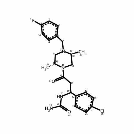 C[C@@H]1CN(Cc2ccc(F)cc2)[C@@H](C)CN1C(=O)CC(NC(N)=O)c1ccc(Cl)cc1